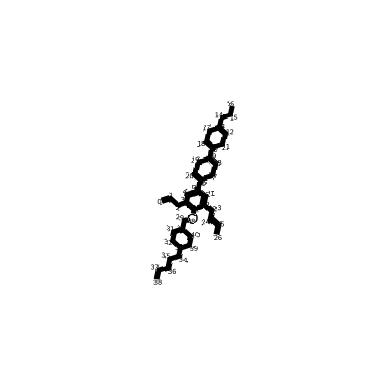 C=CCc1cc(C2CCC(C3CCC(CCC)CC3)CC2)cc(C/C=C/C)c1OCC1CCC(CCCCC)CC1